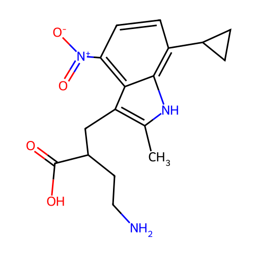 Cc1[nH]c2c(C3CC3)ccc([N+](=O)[O-])c2c1CC(CCN)C(=O)O